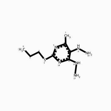 CCCSc1nc(C)c(NN)c(NN)n1